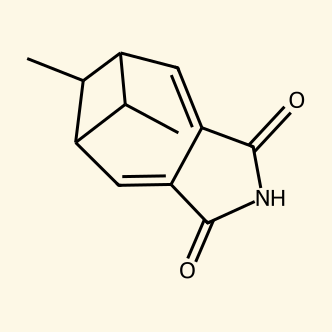 CC1C2C=C3C(=O)NC(=O)C3=CC1C2C